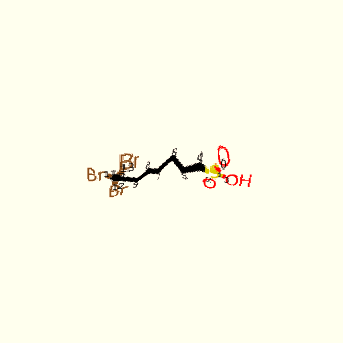 O=S(=O)(O)CCCCCCC(Br)(Br)Br